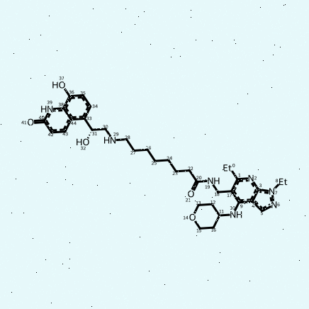 CCc1nc2c(cnn2CC)c(NC2CCOCC2)c1CNC(=O)CCCCCCCNC[C@H](O)c1ccc(O)c2[nH]c(=O)ccc12